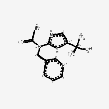 CC(C)C(=O)N(Cc1cccnc1)c1ncc(C(O)(C(F)(F)F)C(F)(F)F)s1